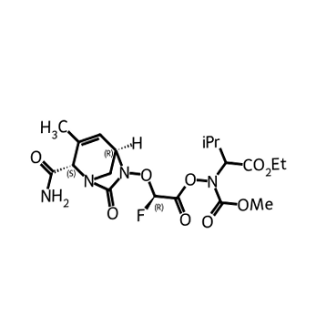 CCOC(=O)C(C(C)C)N(OC(=O)[C@@H](F)ON1C(=O)N2C[C@H]1C=C(C)[C@H]2C(N)=O)C(=O)OC